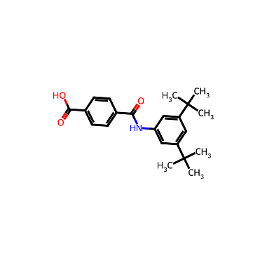 CC(C)(C)c1cc(NC(=O)c2ccc(C(=O)O)cc2)cc(C(C)(C)C)c1